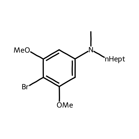 CCCCCCCN(C)c1cc(OC)c(Br)c(OC)c1